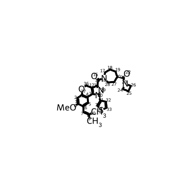 COc1cc2c(cc1C=C(C)C)-c1c(c(C(=O)N3CCC[C@@H](C(=O)N4CCC4)CC3)nn1-c1ccsc1)CO2